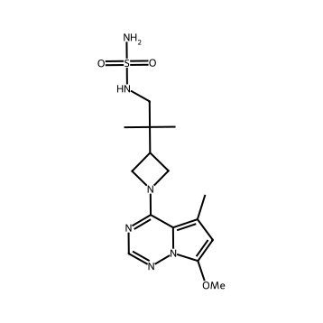 COc1cc(C)c2c(N3CC(C(C)(C)CNS(N)(=O)=O)C3)ncnn12